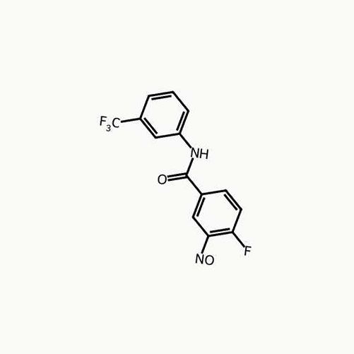 O=Nc1cc(C(=O)Nc2cccc(C(F)(F)F)c2)ccc1F